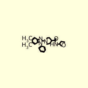 Cc1cc2nc(N3CCC(C(=O)NC4CCOC4)CC3)n(-c3ccccc3)c2cc1C